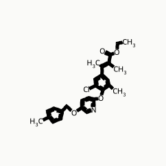 CCOC(=O)/C(C)=C(\C)c1cc(C)c(Oc2ccc(OCc3ccc(C)cc3)cn2)c(Cl)c1